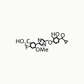 COc1cc(F)c(C(=O)O)cc1-c1cnc(COc2ccc(C(=O)C3CC3)c(O)c2C)cn1